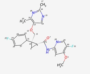 COc1cc(NC(=O)[C@@H]2C[C@@]2(COc2cnc(C)nc2C)C2C=CC(F)=CC2)ncc1F